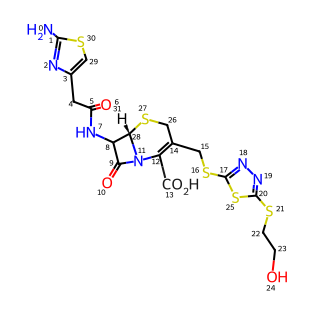 Nc1nc(CC(=O)NC2C(=O)N3C(C(=O)O)=C(CSc4nnc(SCCO)s4)CS[C@@H]23)cs1